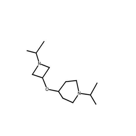 CC(C)N1CCC(OC2CN(C(C)C)C2)CC1